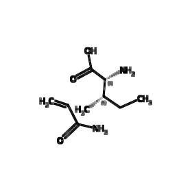 C=CC(N)=O.CC[C@H](C)[C@@H](N)C(=O)O